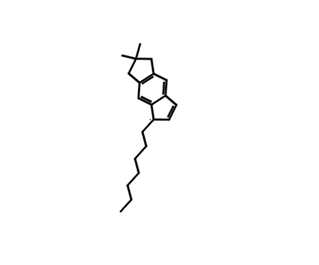 CCCCCCC[C]1C=Cc2cc3c(cc21)CC(C)(C)C3